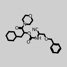 N#CC(COCc1ccccc1)NC(=O)OC(CC1CCCCC1)C(=O)N1CCOCC1